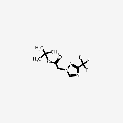 CC(C)(C)OC(=O)Cn1cnc(C(F)(F)F)n1